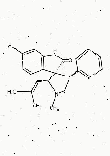 CC(C)=C[C@@H]1N(C)C[C@H](c2ccccc2)[C@@]12C(=O)Nc1cc(Cl)ccc12